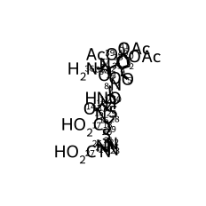 CC(=O)Oc1cc(C(=O)ON=CC(=O)N[C@@H]2C(=O)N3C(C(=O)O)=C(CSc4nnnn4CC(=O)O)CS[C@@H]23)c(-c2coc(N)n2)c(OC(C)=O)c1OC(C)=O